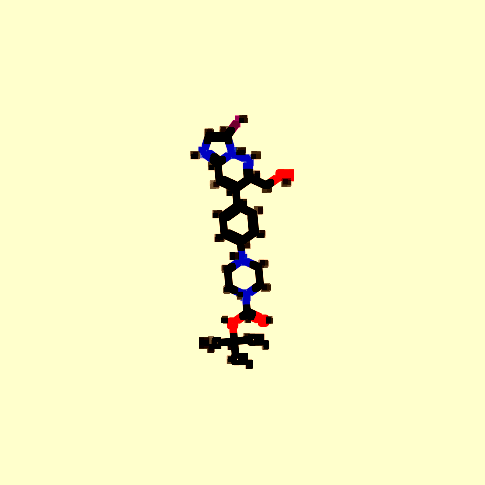 CC(C)(C)OC(=O)N1CCN(c2ccc(-c3cc4ncc(I)n4nc3CO)cc2)CC1